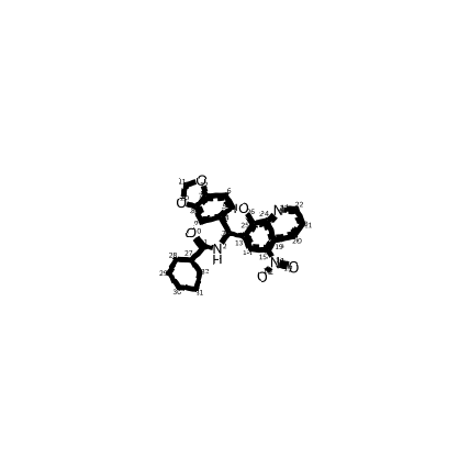 O=C(NC(c1ccc2c(c1)OCO2)c1cc([N+](=O)[O-])c2cccnc2c1O)C1CCCCC1